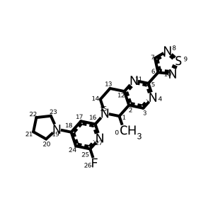 CC1c2cnc(-c3cnsn3)nc2CCN1c1cc(N2CCCC2)cc(F)n1